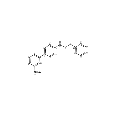 CC(=O)Nc1cccc(-c2ccc(NCCc3ccccn3)nc2)c1